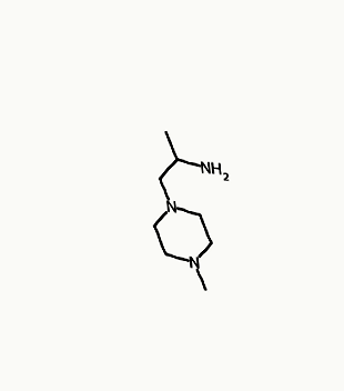 CC(N)CN1CCN(C)CC1